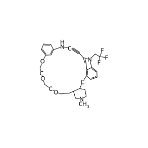 CN1CCC2Cc3cccc4c3cc(n4CC(F)(F)F)C#CCNc3cccc(c3)OCCOCCOCCC2C1